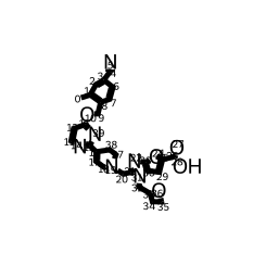 Cc1cc(C#N)ccc1COc1ccnc(C2=CCN(Cc3nc4oc(C(=O)O)cc4n3CC3CCO3)CC2)n1